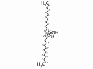 CCCCCCCCCCCCCNCCCCCCCCCCCCC.O=S(=O)(O)O